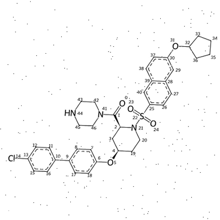 O=C([C@@H]1C[C@H](Oc2ccc(-c3ccc(Cl)cc3)cc2)CCN1S(=O)(=O)c1ccc2cc(OC3CCCC3)ccc2c1)N1CCNCC1